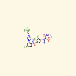 NC(=O)[C@H](CO)NCc1ccc(C(=O)Nc2ccc(Cl)cc2N2CCN(CCC(F)(F)F)CC2)c(F)c1F